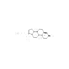 C[C@]12CCC(=O)C=C1CC[C@@H]1[C@@H]2CC[C@@]2(C)[C@H]1CC[C@]2(O)C(=O)O